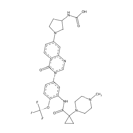 CN1CCN(C2(C(=O)Nc3cc(-n4cnc5cc(N6CCC(NC(=O)O)C6)ccc5c4=O)ccc3OC(F)(F)F)CC2)CC1